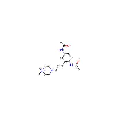 CC(=O)Nc1ccc(NC(C)=O)c(CCCN2CC[N+](C)(C)CC2)c1